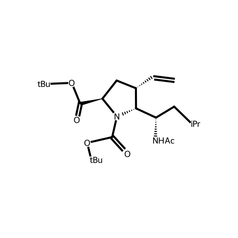 C=C[C@H]1C[C@H](C(=O)OC(C)(C)C)N(C(=O)OC(C)(C)C)[C@H]1[C@H](CC(C)C)NC(C)=O